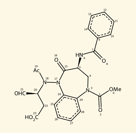 COC(=O)N1C[C@H](NC(=O)c2ccccc2)C(=O)N(N(C(C)=O)[C@H](C=O)CC(=O)O)c2ccccc21